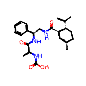 CC(NC(=O)O)C(=O)N[C@H](CNC(=O)[C@@H]1C[C@H](C)CC[C@H]1C(C)C)c1ccccc1